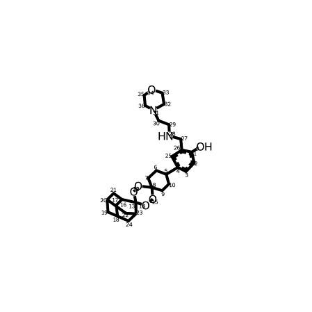 Oc1ccc(C2CCC3(CC2)OOC2(OO3)C3CC4CC(C3)CC2C4)cc1CNCCN1CCOCC1